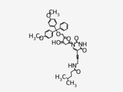 COc1ccc(C(OC[C@H]2O[C@@H](n3cc(C#CCNC(=O)CCC(C)C)c(=O)[nH]c3=O)C[C@H]2O)(c2ccccc2)c2ccc(OC)cc2)cc1